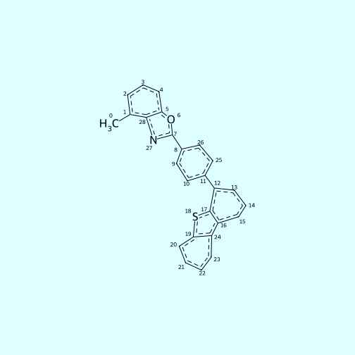 Cc1cccc2oc(-c3ccc(-c4cccc5c4sc4ccccc45)cc3)nc12